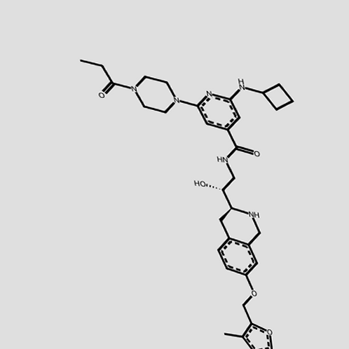 CCC(=O)N1CCN(c2cc(C(=O)NC[C@@H](O)[C@@H]3Cc4ccc(OCc5ocnc5C)cc4CN3)cc(NC3CCC3)n2)CC1